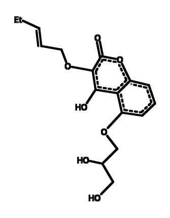 CCC=CCOc1c(O)c2c(OCC(O)CO)cccc2oc1=O